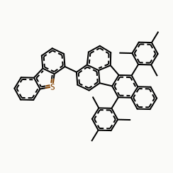 Cc1cc(C)c(-c2c3c(c(-c4c(C)cc(C)cc4C)c4ccccc24)-c2ccc(-c4cccc5c4sc4ccccc45)c4cccc-3c24)c(C)c1